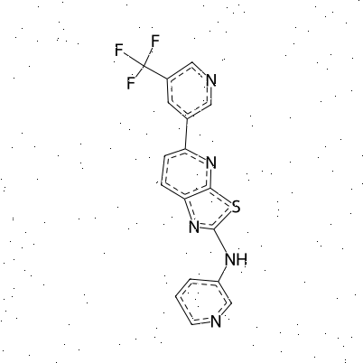 FC(F)(F)c1cncc(-c2ccc3nc(Nc4cccnc4)sc3n2)c1